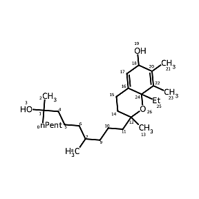 CCCCCC(C)(O)CCCC(C)CCCC1(C)CCC2=CC(O)C(C)=C(C)C2(CC)O1